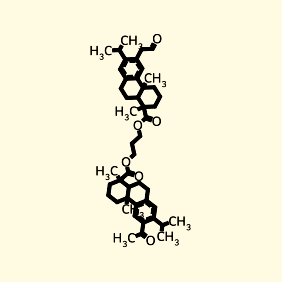 CC(=O)c1cc2c(cc1C(C)C)CCC1C(C)(C(=O)OCCCOC(=O)C3(C)CCCC4(C)c5cc(CC=O)c(C(C)C)cc5CCC34)CCCC21C